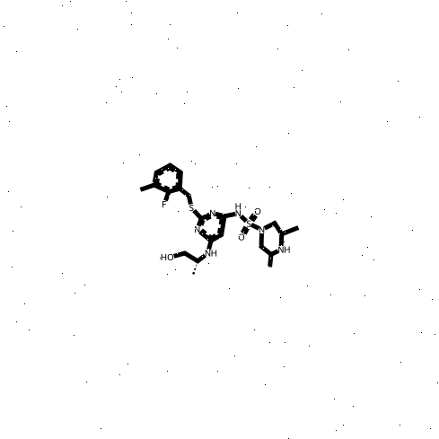 Cc1cccc(CSc2nc(N[C@H](C)CO)cc(NS(=O)(=O)N3CC(C)NC(C)C3)n2)c1F